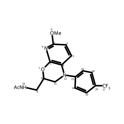 COc1ccc2c(n1)OC(CNC(C)=O)CN2c1ccc(C(F)(F)F)cc1